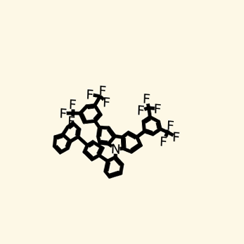 FC(F)(F)c1cc(-c2ccc3c(c2)c2cc(-c4cc(C(F)(F)F)cc(C(F)(F)F)c4)ccc2n3-c2ccccc2-c2ccc(-c3cccc4ccccc34)cc2)cc(C(F)(F)F)c1